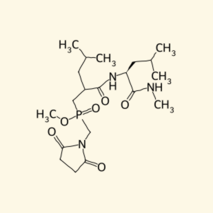 CNC(=O)[C@H](CC(C)C)NC(=O)C(CC(C)C)CP(=O)(CN1C(=O)CCC1=O)OC